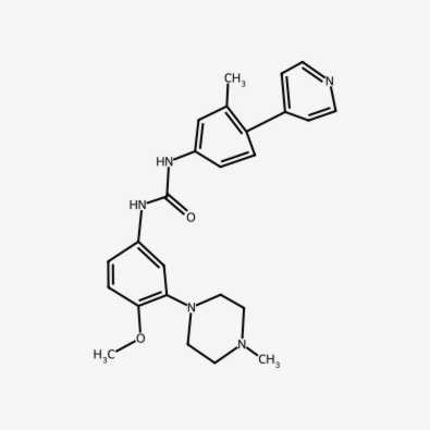 COc1ccc(NC(=O)Nc2ccc(-c3ccncc3)c(C)c2)cc1N1CCN(C)CC1